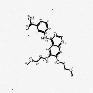 COCCOc1cc2ncnc(Nc3cccc(C(=O)O)c3)c2cc1OCCOC